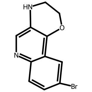 Brc1ccc2ncc3c(c2c1)OCCN3